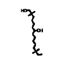 CCC(C)(C)CCCCCC(O)CCCCC(C)(C)CO